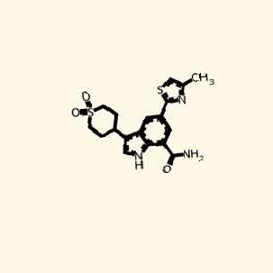 Cc1csc(-c2cc(C(N)=O)c3[nH]cc(C4CCS(=O)(=O)CC4)c3c2)n1